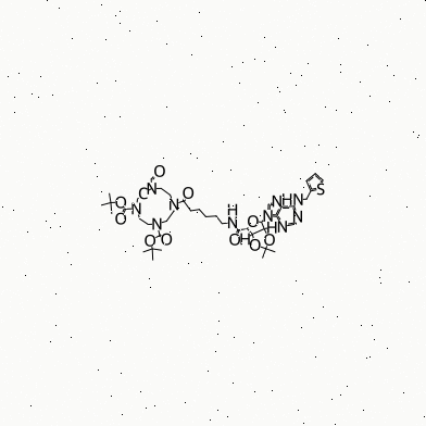 CC(C)(C)OC(=O)N1CCN(C=O)CCN(C(=O)CCCCCNC(=O)[C@H]2O[C@@H](n3cnc4c(NCc5cccs5)ncnc43)[C@@H]3OC(C)(C)O[C@@H]32)CCN(C(=O)OC(C)(C)C)CC1